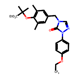 CCOC(=O)C(C)(C)Oc1c(C)cc(Cn2cnn(-c3ccc(OCC(F)(F)F)cc3)c2=O)cc1C